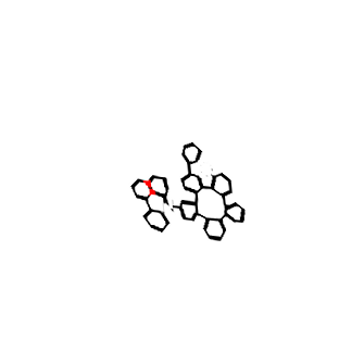 c1ccc(-c2ccccc2N(c2ccccc2)c2ccc3c4ccccc4c4ccccc4c4ccccc4c4c(ccc5c6ccccc6oc54)c3c2)cc1